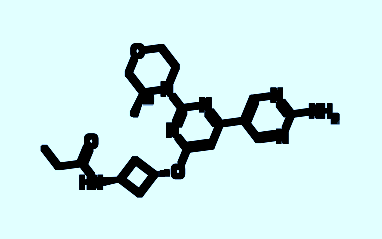 CCC(=O)N[C@H]1C[C@H](Oc2cc(-c3cnc(N)nc3)nc(N3CCOC[C@@H]3C)n2)C1